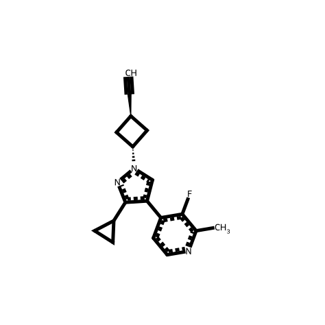 C#C[C@H]1C[C@H](n2cc(-c3ccnc(C)c3F)c(C3CC3)n2)C1